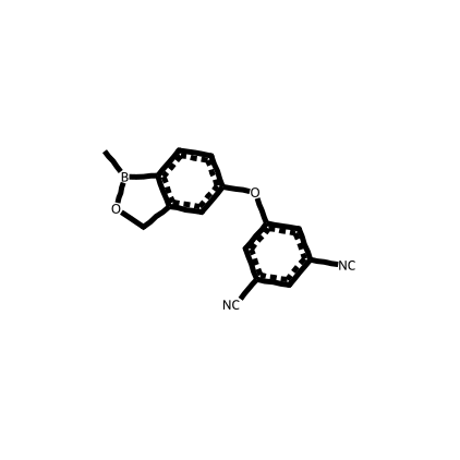 [C-]#[N+]c1cc(C#N)cc(Oc2ccc3c(c2)COB3C)c1